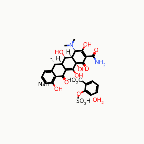 C[C@H]1c2cccc(O)c2C(=O)C2=C(O)[C@]3(O)C(=O)C(C(N)=O)=C(O)[C@@H](N(C)C)[C@@H]3[C@@H](O)[C@@H]21.O.O=C(O)c1ccccc1OS(=O)(=O)O.[NaH]